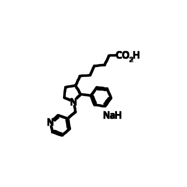 O=C(O)CCCCCC1CCN(Cc2cccnc2)C1c1ccccc1.[NaH]